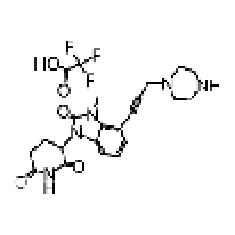 Cn1c(=O)n(C2CCC(=O)NC2=O)c2cccc(C#CCN3CCNCC3)c21.O=C(O)C(F)(F)F